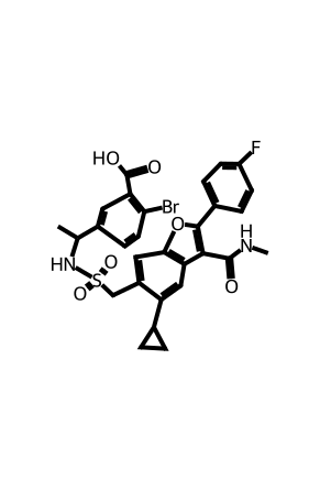 CNC(=O)c1c(-c2ccc(F)cc2)oc2cc(CS(=O)(=O)NC(C)c3ccc(Br)c(C(=O)O)c3)c(C3CC3)cc12